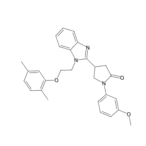 COc1cccc(N2CC(c3nc4ccccc4n3CCOc3cc(C)ccc3C)CC2=O)c1